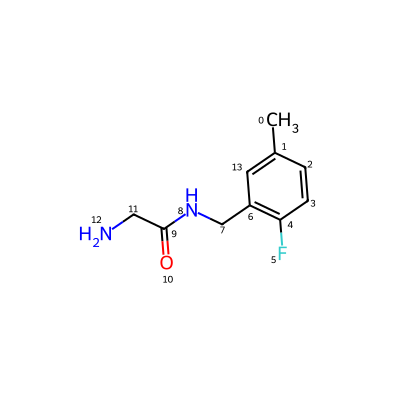 Cc1ccc(F)c(CNC(=O)CN)c1